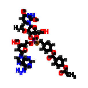 COC1C(OP(=O)(OCC2O[C@@H](n3cnc4c(N)ncnc43)C[C@H]2O)SCc2ccc(OC(=O)c3ccc(OC(C)=O)cc3)cc2)C(CO)OC1n1ccc(=O)[nH]c1=O